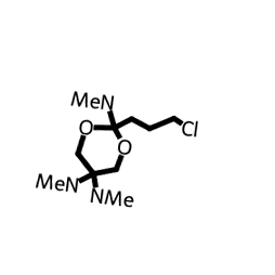 CNC1(NC)COC(CCCCl)(NC)OC1